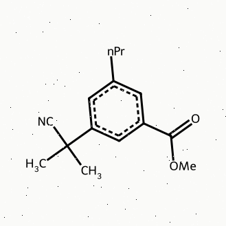 CCCc1cc(C(=O)OC)cc(C(C)(C)C#N)c1